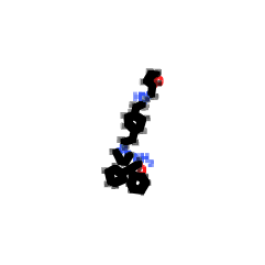 NC(=O)C(c1ccccc1)(c1ccccc1)[C@@H]1CCN(CCc2ccc(CCNCc3ccco3)cc2)C1